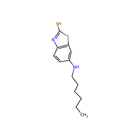 CCCCCCNc1ccc2nc(S)sc2c1